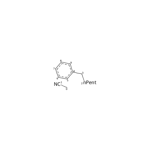 CC#N.CCCCCCc1ccccc1